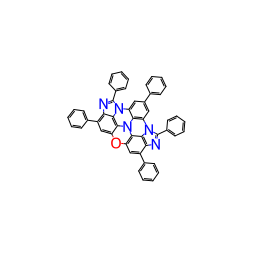 c1ccc(-c2cc3c4c(c2)n2c(-c5ccccc5)nc5c(-c6ccccc6)cc6oc7cc(-c8ccccc8)c8nc(-c9ccccc9)n3c8c7n-4c6c52)cc1